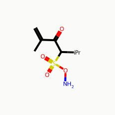 C=C(C)C(=O)C(C(C)C)S(=O)(=O)ON